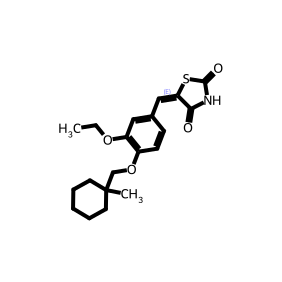 CCOc1cc(/C=C2/SC(=O)NC2=O)ccc1OCC1(C)CCCCC1